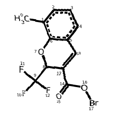 Cc1cccc2c1OC(C(F)(F)F)C(C(=O)OBr)=C2